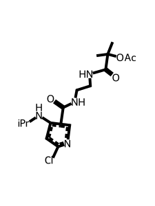 CC(=O)OC(C)(C)C(=O)NCCNC(=O)c1cnc(Cl)cc1NC(C)C